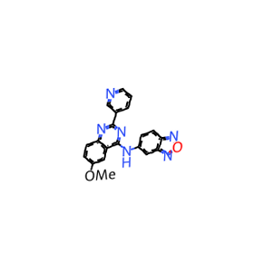 COc1ccc2nc(-c3cccnc3)nc(Nc3ccc4nonc4c3)c2c1